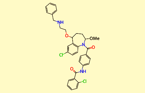 COC1CCC(OCCNCc2ccccc2)c2cc(Cl)ccc2N1C(=O)c1ccc(NC(=O)c2ccccc2Cl)cc1